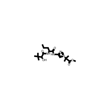 CCCC(NC(=O)C(O)C(C)(C)C)C(=O)Nc1cn(C(C)(C)C(=O)OC)cn1